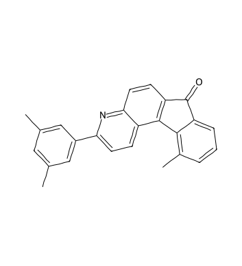 Cc1cc(C)cc(-c2ccc3c4c(ccc3n2)C(=O)c2cccc(C)c2-4)c1